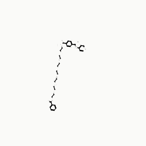 C[C@H](NCCOCCOCCOCCOCCOCCOCCOC(=O)c1ccccc1)c1ccc(C(=O)Nc2ccncc2)cc1